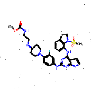 CC(C)(C)OC(=O)NCCNC1CCN(c2ccc(Nc3nc(Nc4cccc5c4N(S(C)(=O)=O)CC5)c4cc[nH]c4n3)cc2F)CC1